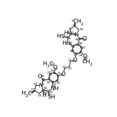 C=C1C[C@H]2[C@H](S)Nc3cc(OCCCOc4cc5c(cc4OC)C(=O)N4CC(=C)C[C@H]4[C@H](S)N5)c(OC)cc3C(=O)N2C1